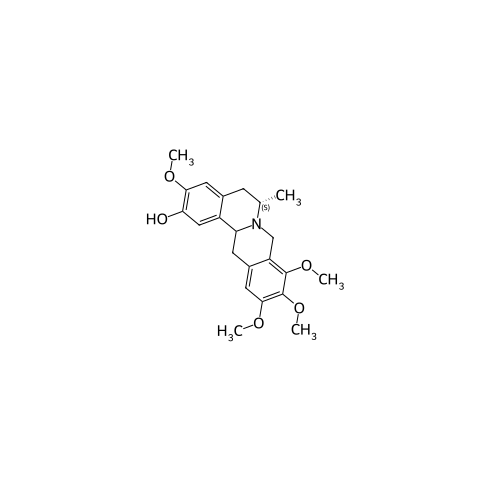 COc1cc2c(cc1O)C1Cc3cc(OC)c(OC)c(OC)c3CN1[C@@H](C)C2